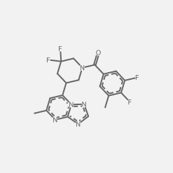 Cc1cc(C2CN(C(=O)c3cc(C)c(F)c(F)c3)CC(F)(F)C2)n2ncnc2n1